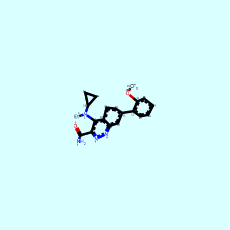 CCN(c1c(C(N)=O)nnc2cc(-c3ccccc3OC(F)(F)F)ccc12)C1CC1